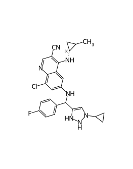 CC1C[C@H]1Nc1c(C#N)cnc2c(Cl)cc(NC(C3=CN(C4CC4)NN3)c3ccc(F)cc3)cc12